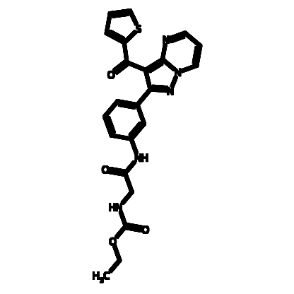 CCOC(=O)NCC(=O)Nc1cccc(-c2nn3cccnc3c2C(=O)c2cccs2)c1